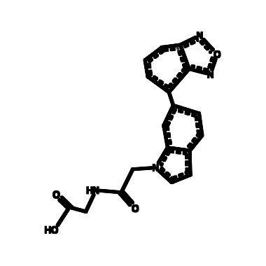 O=C(O)CNC(=O)Cn1ccc2ccc(-c3cccc4nonc34)cc21